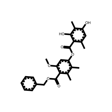 COc1cc(OC(=O)c2c(C)cc(O)c(C)c2O)c(C)c(C)c1C(=O)OCc1ccccc1